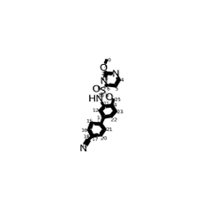 COc1nccc(S(=O)(=O)Nc2cc(-c3ccc(C#N)cc3)ccc2C)n1